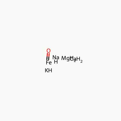 [CaH2].[KH].[MgH2].[NaH].[O]=[Fe]